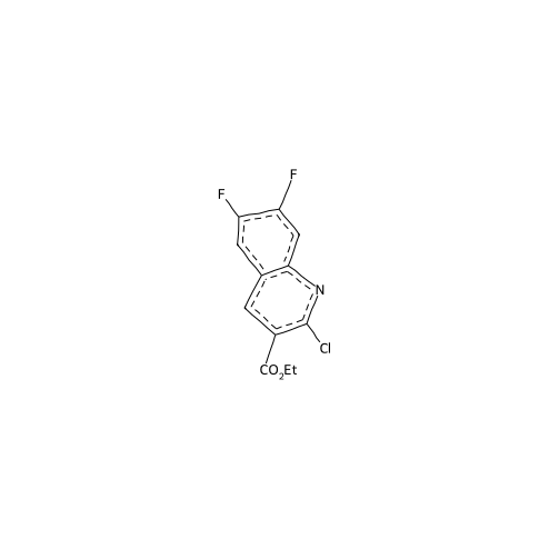 CCOC(=O)c1cc2cc(F)c(F)cc2nc1Cl